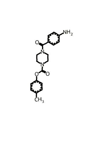 Cc1ccc(OC(=O)N2CCN(C(=O)c3ccc(N)cc3)CC2)cc1